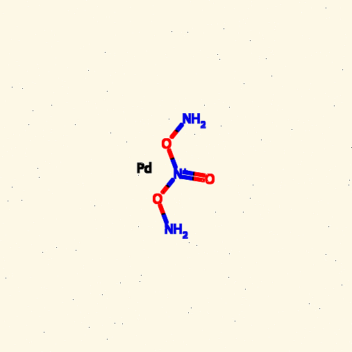 NO[N+](=O)ON.[Pd]